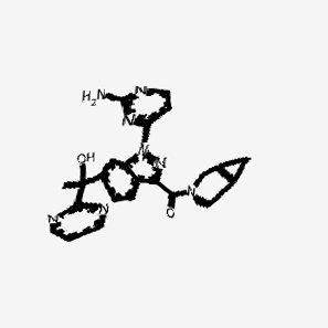 CC(O)(c1ccc2c(C(=O)N3CC4CC4C3)nn(-c3ccnc(N)n3)c2c1)c1ncccn1